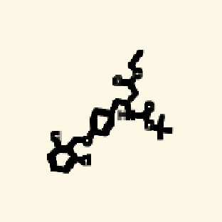 CCOC(=O)C[C@H](Cc1ccc(OCc2c(Cl)cccc2Cl)cc1)NC(=O)OC(C)(C)C